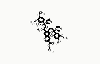 CCOC(=O)c1cnc2cc(C(C)CC(OC)(c3ccc(OC)c(OC)c3)n3ccnc3)c(C(C)CC(OC)(c3ccc(OC)c(OC)c3)n3ccnc3)cc2c1